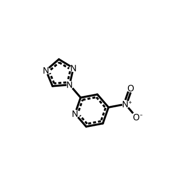 O=[N+]([O-])c1ccnc(-n2cncn2)c1